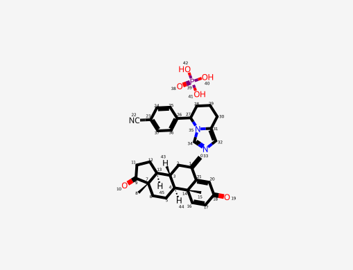 C=C1C[C@@H]2[C@H](CC[C@]3(C)C(=O)CC[C@@H]23)[C@@]2(C)C=CC(=O)C=C12.N#Cc1ccc(C2CCCc3cncn32)cc1.O=P(O)(O)O